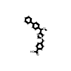 COC(c1ccc(-c2ccccc2)cc1)c1cn(Cc2ccc(C(=O)O)cc2)cn1